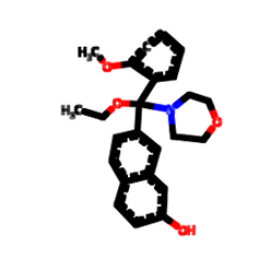 CCOC(c1ccc2ccc(O)cc2c1)(c1ccccc1OC)N1CCOCC1